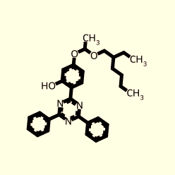 CCCCC(CC)COC(C)Oc1ccc(-c2nc(-c3ccccc3)nc(-c3ccccc3)n2)c(O)c1